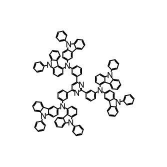 c1ccc(-n2c3ccccc3c3cc(N(c4cccc(-c5cc(-c6cccc(N(c7ccc8c(c7)c7ccccc7n8-c7ccccc7)c7cccc8c7c7ccccc7n8-c7ccccc7)c6)nc(-c6cccc(N(c7ccc8c(c7)c7ccccc7n8-c7ccccc7)c7cccc8c7c7ccccc7n8-c7ccccc7)c6)n5)c4)c4cccc5c4c4ccccc4n5-c4ccccc4)ccc32)cc1